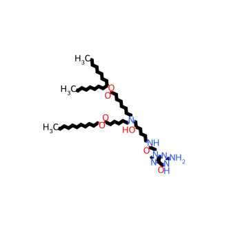 CCCCCCCCCCCOC(=O)CCCCCN(CCCCCCCC(=O)OC(CCCCCCCC)CCCCCCCC)CC(O)CCCCNC(=O)Cn1cnc2c(=O)[nH]c(N)nc21